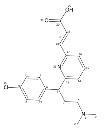 CN(C)CCC(c1ccc(Cl)cc1)c1cccc(/C=C/C(=O)O)n1